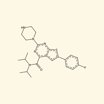 CC(C)N(C(=O)c1nc(N2CCNCC2)nc2sc(-c3ccc(F)cc3)cc12)C(C)C